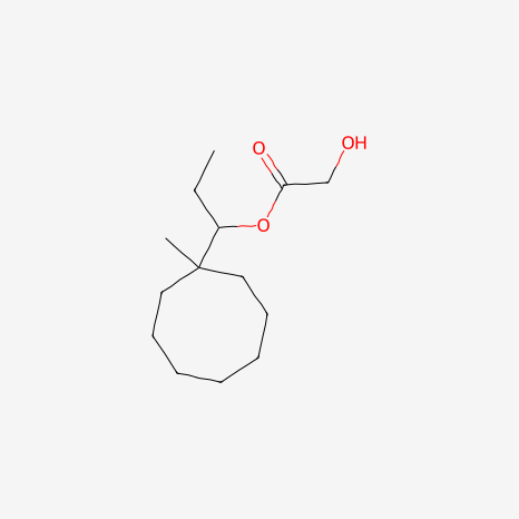 CCC(OC(=O)CO)C1(C)CCCCCCC1